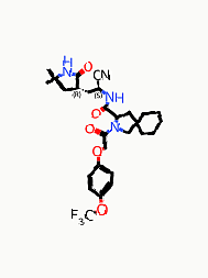 CC1(C)C[C@@H](C[C@@H](C#N)NC(=O)C2CC3(CCCCC3)CN2C(=O)COc2ccc(OC(F)(F)F)cc2)C(=O)N1